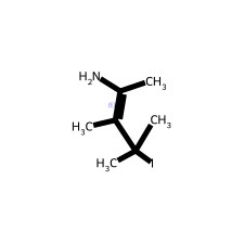 C/C(N)=C(/C)C(C)(C)I